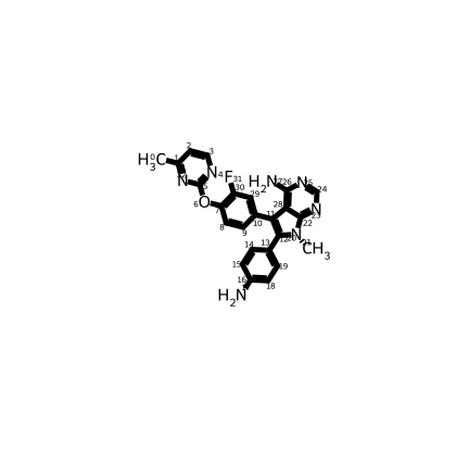 Cc1ccnc(Oc2ccc(-c3c(-c4ccc(N)cc4)n(C)c4ncnc(N)c34)cc2F)n1